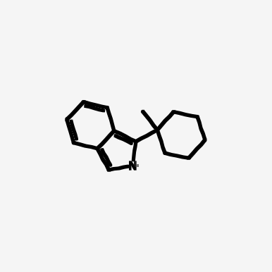 CC1(C2=c3ccccc3=C[N]2)CCCCC1